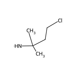 CC(C)([NH])CCCl